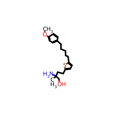 COc1ccc(CCCCCc2ccc(CCC(C)(N)CO)s2)cc1